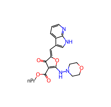 CCCOC(=O)C1=C(NN2CCOCC2)O/C(=C\c2c[nH]c3ncccc23)C1=O